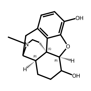 CN1CC[C@]23c4c5ccc(O)c4O[C@H]2C(O)CC[C@H]3C1C5